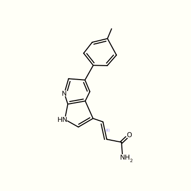 Cc1ccc(-c2cnc3[nH]cc(/C=C/C(N)=O)c3c2)cc1